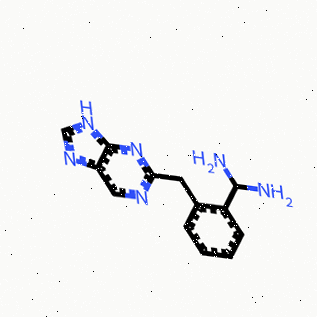 NC(N)c1ccccc1Cc1ncc2nc[nH]c2n1